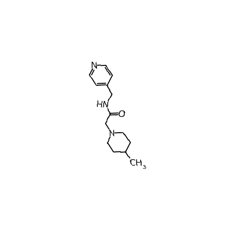 CC1CCN(CC(=O)NCc2ccncc2)CC1